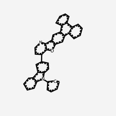 c1ccc(-n2c3ccccc3c3cc(-c4ccnc5c4oc4cc6c7ccccc7c7ccccc7c6cc45)ccc32)cc1